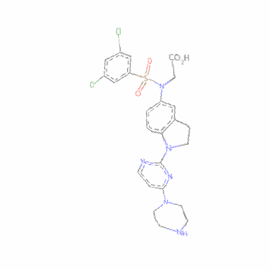 O=C(O)CN(c1ccc2c(c1)CCN2c1nccc(N2CCNCC2)n1)S(=O)(=O)c1cc(Cl)cc(Cl)c1